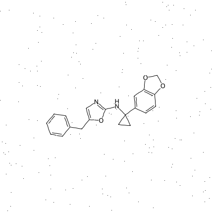 c1ccc(Cc2cnc(NC3(c4ccc5c(c4)OCO5)CC3)o2)cc1